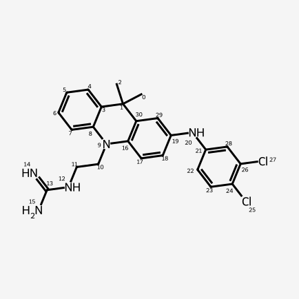 CC1(C)c2ccccc2N(CCNC(=N)N)c2ccc(Nc3ccc(Cl)c(Cl)c3)cc21